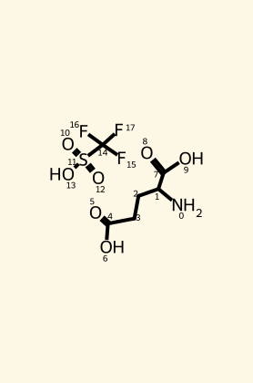 NC(CCC(=O)O)C(=O)O.O=S(=O)(O)C(F)(F)F